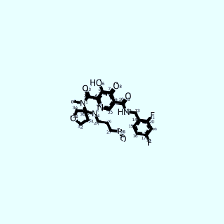 CN1C(=O)c2c(O)c(=O)c(C(=O)NCc3ccc(F)cc3F)cn2N(CCCP=O)C12CCOC2